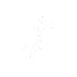 c1ccc(-n2c3ccccc3c3c4ccn5c6cc7c8cc9c(c%10ccccc%10n9-c9ccccc9)c9ccn(c7cc6c(cc32)c45)c89)cc1